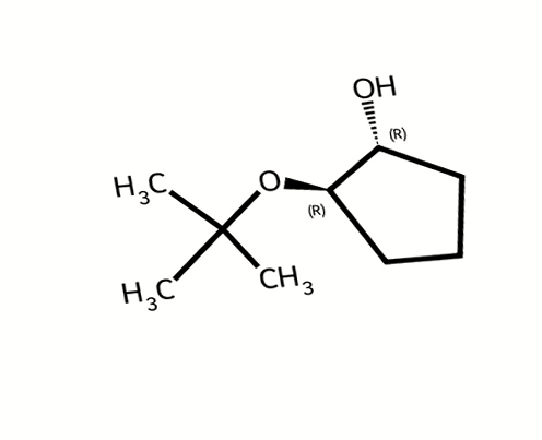 CC(C)(C)O[C@@H]1CCC[C@H]1O